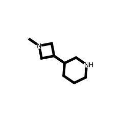 CN1CC(C2CCCNC2)C1